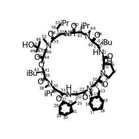 CCC(C)[C@@H]1NC(=O)[C@@H]2CCCN2C(=O)[C@H](Cc2ccccc2)N(C)C(=O)[C@H](Cc2ccccc2)NC(=O)[C@H](C(C)C)N(C)C(=O)[C@@H](C(C)CC)OC(=O)[C@H](C(C)(C)O)N(C)C(=O)[C@H](CC(C)C)NC(=O)[C@H](C(C)C)N(C)C1=O